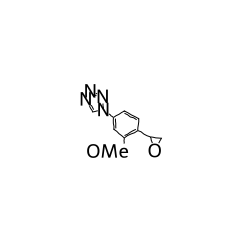 COc1cc(-n2cnnn2)ccc1C1CO1